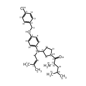 CC(C)=CCN(c1ccc(OCc2ccc(Cl)cc2)cc1)C1CCN(C(=O)[C@@H](N)CC(C)C)C1